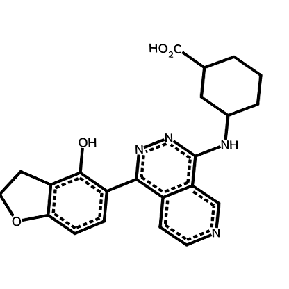 O=C(O)C1CCCC(Nc2nnc(-c3ccc4c(c3O)CCO4)c3ccncc23)C1